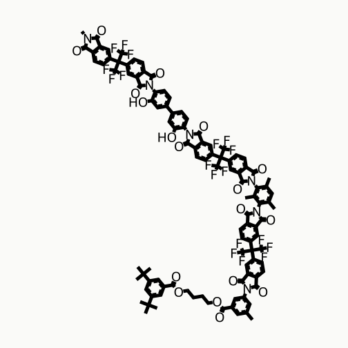 Cc1cc(C(=O)OCCCCOC(=O)c2cc(C(C)(C)C)cc(C(C)(C)C)c2)cc(N2C(=O)c3ccc(C(c4ccc5c(c4)C(=O)N(c4c(C)cc(C)c(N6C(=O)c7ccc(C(c8ccc9c(c8)C(=O)N(c8ccc(-c%10ccc(N%11C(=O)c%12ccc(C(c%13ccc%14c(c%13)C(=O)N(C)C%14=O)(C(F)(F)F)C(F)(F)F)cc%12C%11=O)c(O)c%10)cc8O)C9=O)(C(F)(F)F)C(F)(F)F)cc7C6=O)c4C)C5=O)(C(F)(F)F)C(F)(F)F)cc3C2=O)c1